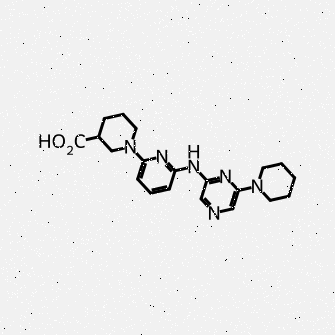 O=C(O)C1CCCN(c2cccc(Nc3cncc(N4CCCCC4)n3)n2)C1